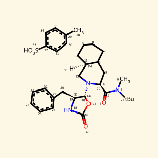 CN(C(=O)[C@@H]1CC2CCCC[C@@H]2CN1[C@@H]1OC(=O)N[C@H]1Cc1ccccc1)C(C)(C)C.Cc1ccc(S(=O)(=O)O)cc1